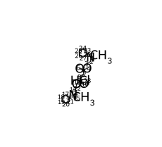 CN(CCOC(=O)/C=C/C(=O)OCCN(C)c1ccccc1)c1ccccc1.Cl